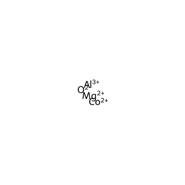 [Al+3].[Co+2].[Mg+2].[O-2]